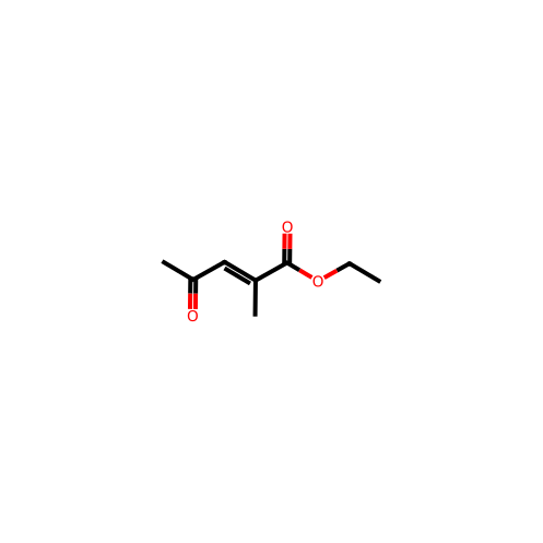 CCOC(=O)/C(C)=C/C(C)=O